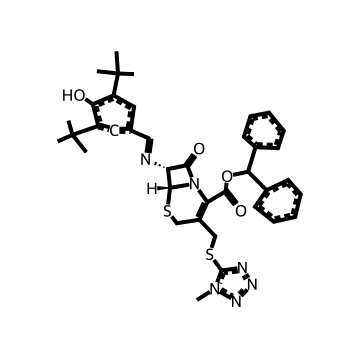 Cn1nnnc1SCC1=C(C(=O)OC(c2ccccc2)c2ccccc2)N2C(=O)[C@@H](/N=C/c3cc(C(C)(C)C)c(O)c(C(C)(C)C)c3)[C@H]2SC1